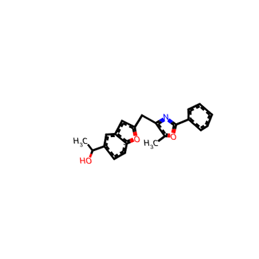 Cc1oc(-c2ccccc2)nc1Cc1cc2cc(C(C)O)ccc2o1